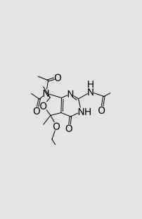 CCOC(C)(OCC)c1c(N(C(C)=O)C(C)=O)nc(NC(C)=O)[nH]c1=O